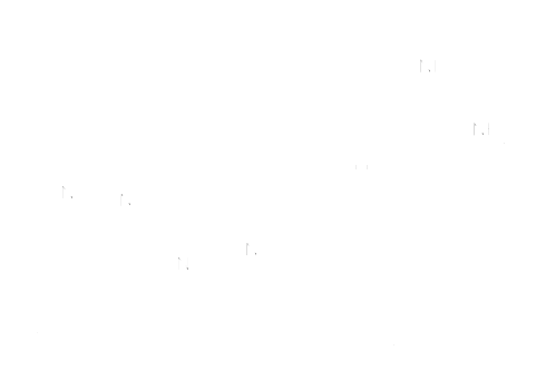 CNCC(Oc1ccc(F)cc1CN(C)c1ccn2ncc(C=O)c2n1)C(N)=O